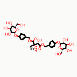 CC(C)C[C@](O)(C(=O)OCc1ccc(O[C@@H]2O[C@H](CO)[C@@H](O)[C@H](O)[C@H]2O)cc1)[C@H](O)C(=O)OCc1ccc(O[C@@H]2O[C@H](CO)[C@@H](O)[C@H](O)[C@H]2O)cc1